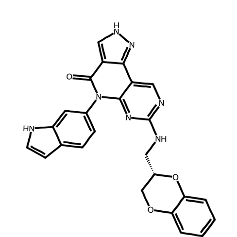 O=c1c2c[nH]nc2c2cnc(NC[C@H]3COc4ccccc4O3)nc2n1-c1ccc2cc[nH]c2c1